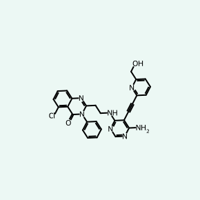 Nc1ncnc(NCCc2nc3cccc(Cl)c3c(=O)n2-c2ccccc2)c1C#Cc1cccc(CO)n1